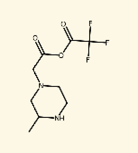 CC1CN(CC(=O)OC(=O)C(F)(F)F)CCN1